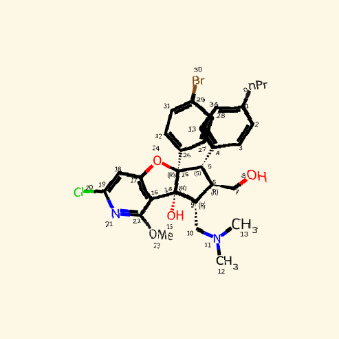 CCCc1ccc([C@@H]2[C@@H](CO)[C@H](CN(C)C)[C@@]3(O)c4c(cc(Cl)nc4OC)O[C@@]23c2ccc(Br)cc2)cc1